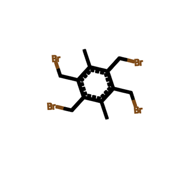 Cc1c(CBr)c(CBr)c(C)c(CBr)c1CBr